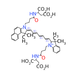 CC1(C)C(/C=C/C=C/C=C/C=C2/N(CCCC(=O)NC(CC(=O)O)C(=O)O)c3ccc4ccccc4c3C2(C)C)=[N+](CCCC(=O)NC(CC(=O)O)C(=O)O)c2ccccc21